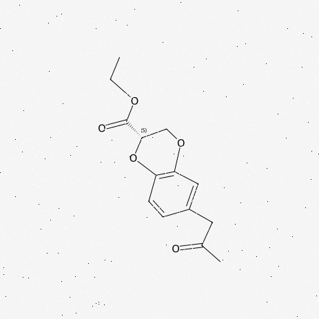 CCOC(=O)[C@@H]1COc2cc(CC(C)=O)ccc2O1